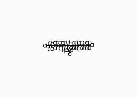 ClC(Cl)(Cl)C(Cl)(Cl)C(Cl)(Cl)C(Cl)(Cl)C(Cl)(Cl)C(Cl)(Cl)C(Cl)(Cl)C(Cl)(Cl)C(Cl)(Cl)C(Cl)(Cl)C(Cl)(Cl)C(Cl)(Cl)C(Cl)(Cl)C(Cl)(Cl)C(Cl)(Cl)C(Cl)(Cl)Cl.O=[SH](=O)O